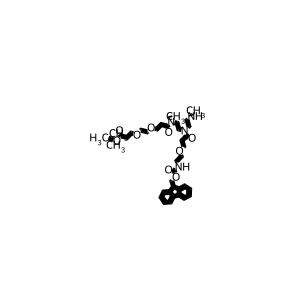 CNCCN(CCN(C)C(=O)CCOCCOCCC(=O)OC(C)(C)C)C(=O)CCOCCNC(=O)OCC1c2ccccc2-c2ccccc21